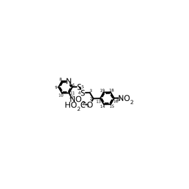 O=C(O)OC(CSSc1ncccc1[N+](=O)[O-])c1ccc([N+](=O)[O-])cc1